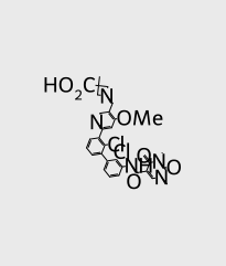 COc1cc(-c2cccc(-c3cccc(NC(=O)c4cn(C)c(=O)n(C)c4=O)c3Cl)c2Cl)ncc1CN1CC(C)(C(=O)O)C1